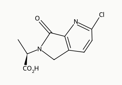 C[C@H](C(=O)O)N1Cc2ccc(Cl)nc2C1=O